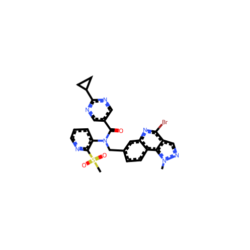 Cn1ncc2c(Br)nc3cc(CN(C(=O)c4cnc(C5CC5)nc4)c4cccnc4S(C)(=O)=O)ccc3c21